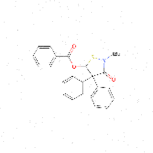 CC(C)(C)N1SC(OC(=O)c2ccccc2)C(c2ccccc2)(c2ccccc2)C1=O